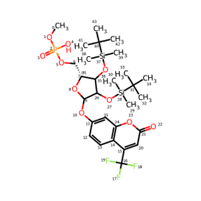 COP(=O)(O)OC[C@H]1OC(Oc2ccc3c(C(F)(F)F)cc(=O)oc3c2)C(O[Si](C)(C)C(C)(C)C)C1O[Si](C)(C)C(C)(C)C